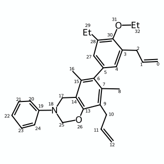 C=CCc1cc(-c2c(C)c(CC=C)c3c(c2C)CN(c2ccccc2)CO3)cc(CC)c1OCC